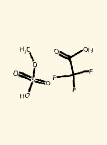 COS(=O)(=O)O.O=C(O)C(F)(F)F